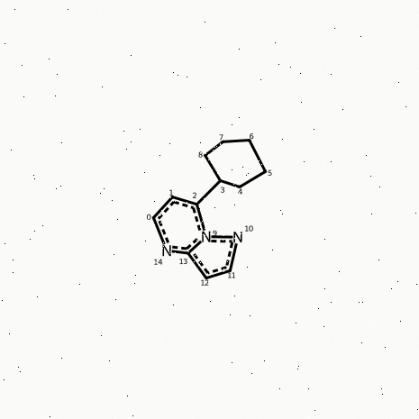 c1cc(C2CCCCC2)n2nccc2n1